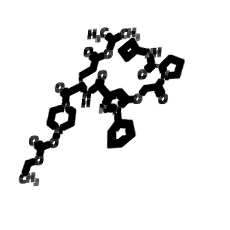 CCOC(=O)ON1CCN(C(=O)[C@H](CCC(=O)OC(C)C)NC(=O)c2cc(OCC(=O)N3CCC[C@H]3C(=O)NC3CCC3)n(-c3ccccc3)n2)CC1